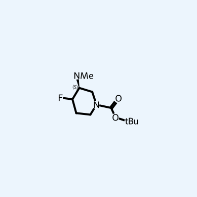 CN[C@H]1CN(C(=O)OC(C)(C)C)CCC1F